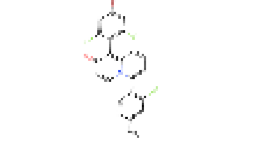 Cc1ccc(-c2cccc3c(-c4c(F)cc(Br)cc4F)c(=O)ccn23)c(F)c1